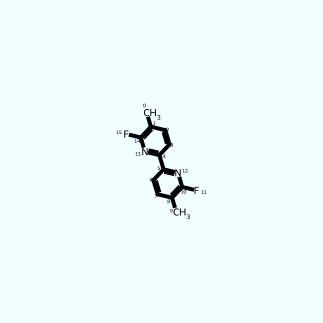 Cc1ccc(-c2ccc(C)c(F)n2)nc1F